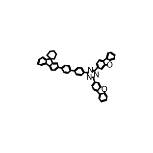 c1ccc2c(c1)-c1ccc(-c3ccc(-c4ccc(-c5nc(-c6ccc7c(c6)oc6ccccc67)nc(-c6ccc7c(c6)oc6ccccc67)n5)cc4)cc3)cc1C21CCCCC1